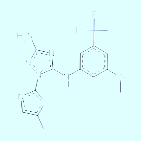 COc1cc(Nc2nc(N)nn2-c2ncc(C)s2)cc(C(F)(F)F)c1